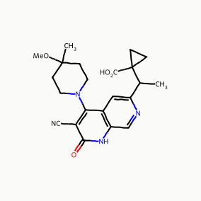 COC1(C)CCN(c2c(C#N)c(=O)[nH]c3cnc(C(C)C4(C(=O)O)CC4)cc23)CC1